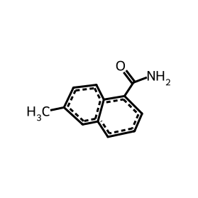 Cc1ccc2c(C(N)=O)cccc2c1